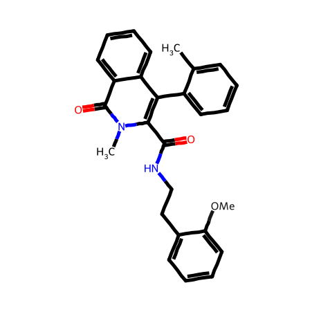 COc1ccccc1CCNC(=O)c1c(-c2ccccc2C)c2ccccc2c(=O)n1C